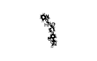 COc1cc(N2CCN(C(=O)NCCn3cnc4ccccc43)CC2)ccc1-c1cnc(C)o1